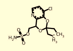 CCC1(CC)Oc2c(Cl)ccnc2C(COS(N)(=O)=O)O1